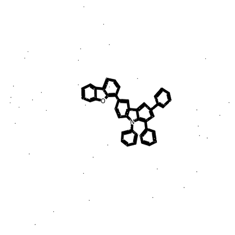 c1ccc(-c2cc(-c3ccccc3)c3c(c2)c2cc(-c4cccc5c4oc4ccccc45)ccc2n3-c2ccccc2)cc1